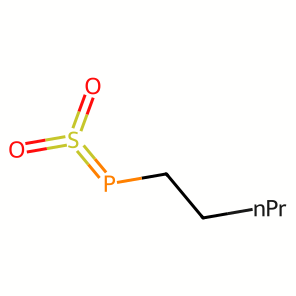 CCCCCP=S(=O)=O